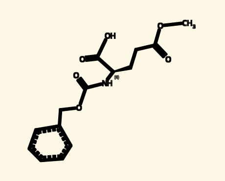 COC(=O)CC[C@@H](NC(=O)OCc1ccccc1)C(=O)O